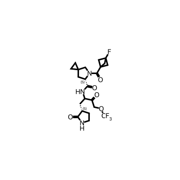 O=C(COC(F)(F)F)C(C[C@@H]1CCNC1=O)NC(=O)[C@@H]1CC2(CC2)CN1C(=O)C12CC(F)(C1)C2